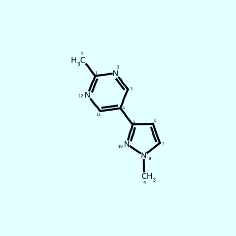 Cc1ncc(-c2ccn(C)n2)cn1